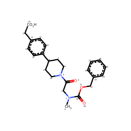 CN(CC(=O)N1CCC(c2ccc(CC(=O)O)cc2)CC1)C(=O)OCc1ccccc1